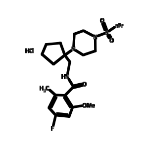 CCCS(=O)(=O)N1CCN(C2(CNC(=O)c3c(C)cc(F)cc3OC)CCCC2)CC1.Cl